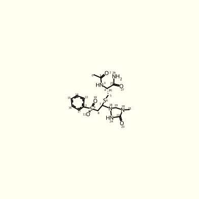 CC(=O)N[C@@H](CSC(CS(=O)(=O)c1ccccc1)N1CN(C)C(=O)N1)C(N)=O